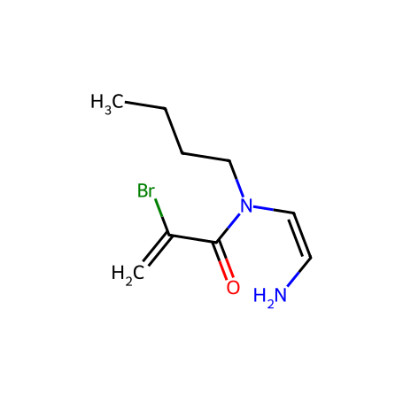 C=C(Br)C(=O)N(/C=C\N)CCCC